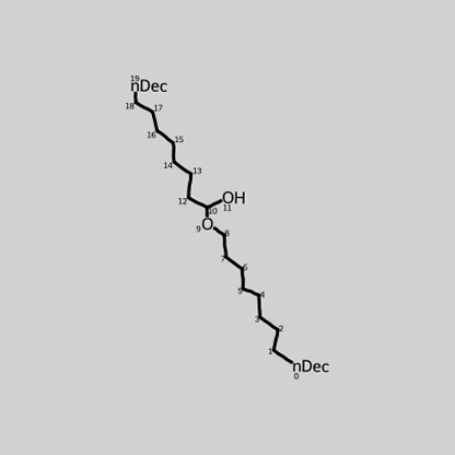 CCCCCCCCCCCCCCCCCCOC(O)CCCCCCCCCCCCCCCCC